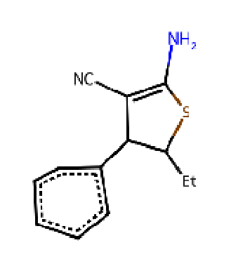 CCC1SC(N)=C(C#N)C1c1ccccc1